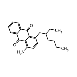 CCCCC(CC)Cc1ccc(N)c2c1C(=O)c1ccccc1C2=O